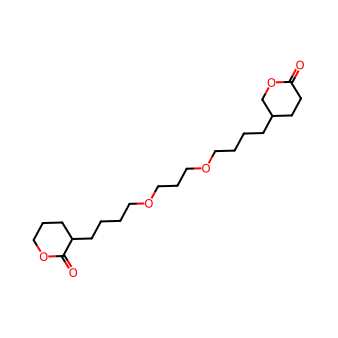 O=C1CCC(CCCCOCCCOCCCCC2CCCOC2=O)CO1